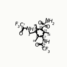 Cc1c(CNC(=O)C(F)(F)F)c(C)c(S(N)(=O)=O)c(C)c1NC(=O)C(F)(F)F